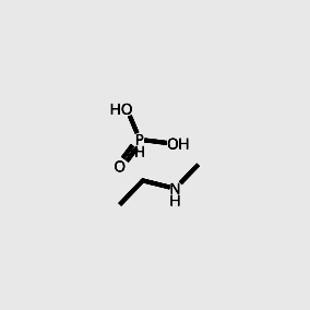 CCNC.O=[PH](O)O